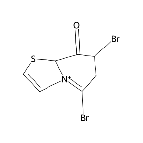 O=C1C(Br)CC(Br)=[N+]2C=CSC12